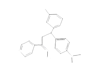 Cc1cccc(C(C/C(=N/O)c2ccncc2)c2ccc(N(C)C)cc2)c1